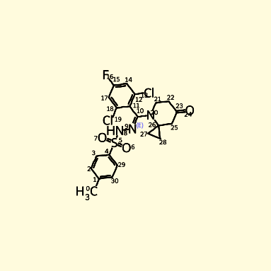 Cc1ccc(S(=O)(=O)N/N=C(\c2c(Cl)cc(F)cc2Cl)N2CCC(=O)CC23CC3)cc1